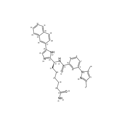 Cc1cc(C)n(-c2cccc(C(=O)N[C@@H](CCCCCC(N)=O)c3ncc(-c4ccc5ccccc5c4)[nH]3)c2)n1